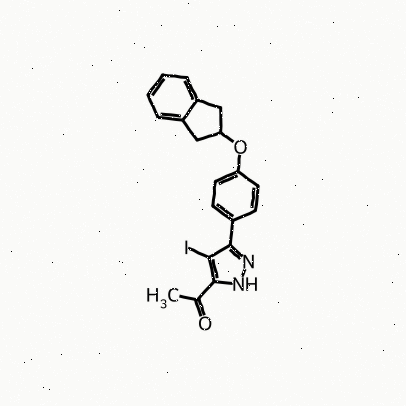 CC(=O)c1[nH]nc(-c2ccc(OC3Cc4ccccc4C3)cc2)c1I